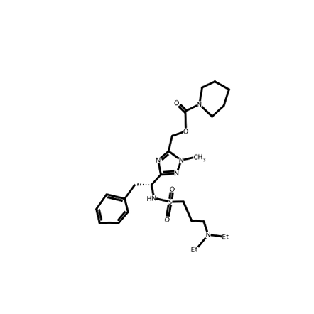 CCN(CC)CCCS(=O)(=O)N[C@H](Cc1ccccc1)c1nc(COC(=O)N2CCCCC2)n(C)n1